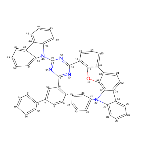 c1ccc(-c2cccc(-c3nc(-c4cccc5c4oc4c5ccc5c6ccccc6n(-c6ccccc6)c54)nc(-n4c5ccccc5c5ccccc54)n3)c2)cc1